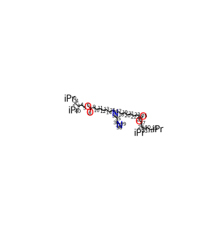 CC(C)CCC(CCOC(=O)CCCCCCCN(CCCCCCCC(=O)OCCC(CCC(C)C)C(C)C)CCCN(C)C)C(C)C